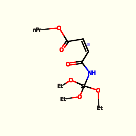 CCCOC(=O)/C=C\C(=O)N[Si](OCC)(OCC)OCC